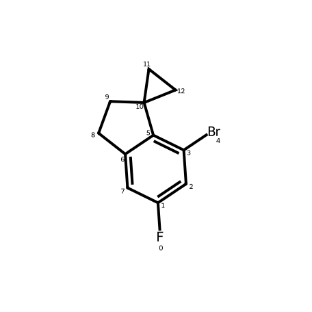 Fc1cc(Br)c2c(c1)CCC21CC1